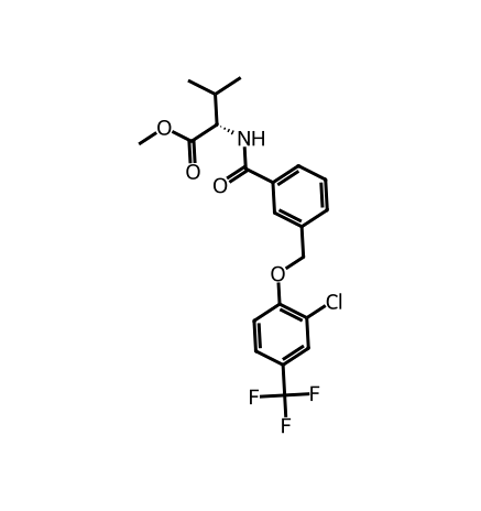 COC(=O)[C@@H](NC(=O)c1cccc(COc2ccc(C(F)(F)F)cc2Cl)c1)C(C)C